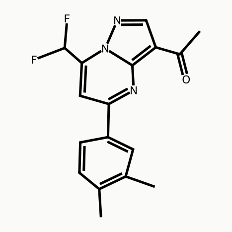 CC(=O)c1cnn2c(C(F)F)cc(-c3ccc(C)c(C)c3)nc12